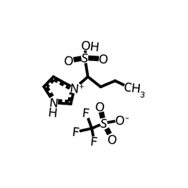 CCCC([n+]1cc[nH]c1)S(=O)(=O)O.O=S(=O)([O-])C(F)(F)F